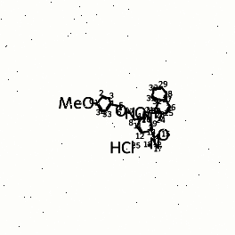 COc1ccc(CON=CC2(O)C=CC(C(=O)N(C)C)=CN2Cc2c(C)ccc3ccccc23)cc1.Cl